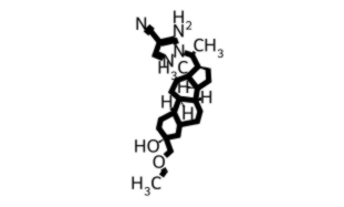 CCOC[C@@]1(O)CC[C@H]2C(CC[C@@H]3[C@@H]2CC[C@]2(C)[C@@H]([C@H](C)n4ncc(C#N)c4N)CC[C@@H]32)C1